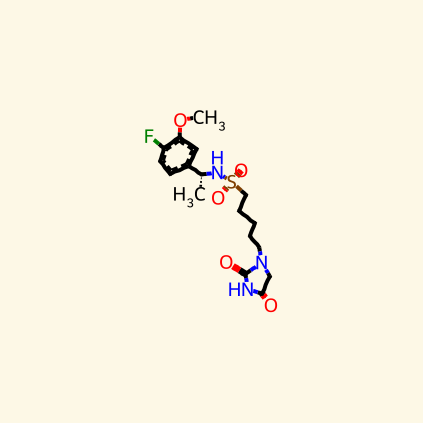 COc1cc([C@@H](C)NS(=O)(=O)CCCCCN2CC(=O)NC2=O)ccc1F